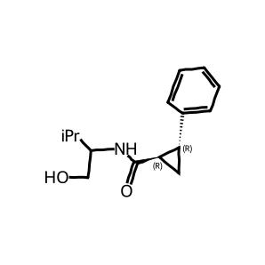 CC(C)C(CO)NC(=O)[C@@H]1C[C@H]1c1ccccc1